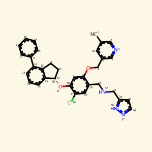 N#Cc1cncc(COc2cc(O[C@H]3CCc4c(-c5ccccc5)cccc43)c(Cl)cc2CNCc2ccn[nH]2)c1